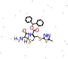 Cc1nnc(SCC2=C(C(=O)OC(c3ccccc3)c3ccccc3)N3C(=O)C(N)[C@@H]3SC2)s1